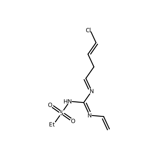 C=C/N=C(\N=C\C/C=C/Cl)NS(=O)(=O)CC